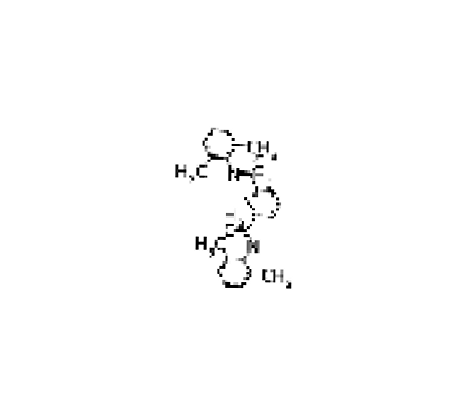 CC(=Nc1c(C)cccc1C)c1cccc(C(C)=Nc2c(C)cccc2C)n1